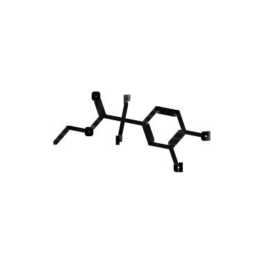 CCOC(=O)C(F)(F)c1ccc(Cl)c(Cl)c1